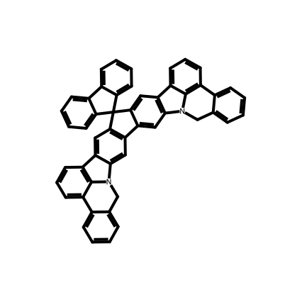 c1ccc2c(c1)Cn1c3cc4c(cc3c3cccc-2c31)C1(c2ccccc2-c2ccccc21)c1cc2c3cccc5c3n(c2cc1-4)Cc1ccccc1-5